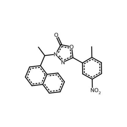 Cc1ccc([N+](=O)[O-])cc1-c1nn(C(C)c2cccc3ccccc23)c(=O)o1